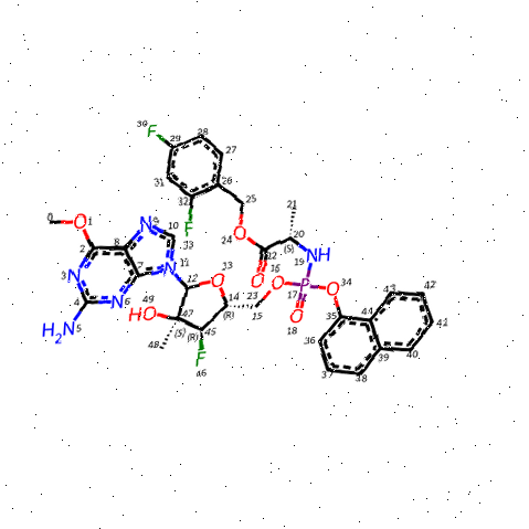 COc1nc(N)nc2c1ncn2C1O[C@H](COP(=O)(N[C@@H](C)C(=O)OCc2ccc(F)cc2F)Oc2cccc3ccccc23)[C@@H](F)[C@@]1(C)O